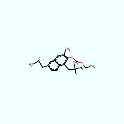 CCOCOc1c(C)cc2cc(CC(C)C)ccc2c1CC(C)(C)C